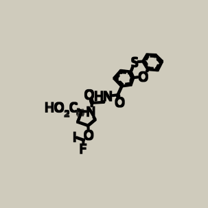 O=C(NCC(=O)N1CC(OC(F)I)C[C@H]1C(=O)O)c1ccc2c(c1)Oc1ccccc1S2